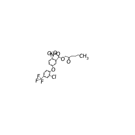 CCCCC(=O)COC(=O)c1cc(Oc2ccc(C(F)(F)F)cc2Cl)ccc1[N+](=O)[O-]